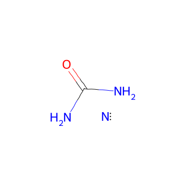 NC(N)=O.[N]